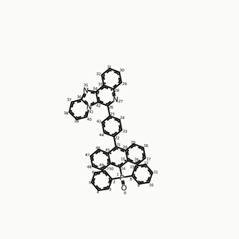 O=P(c1ccccc1)(c1ccccc1)c1c2ccccc2c(-c2ccc(-c3nc4ccccc4c4nc5ccccn5c34)cc2)c2ccccc12